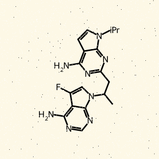 CC(C)n1ccc2c(N)nc(CC(C)n3cc(F)c4c(N)ncnc43)nc21